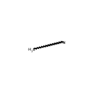 [CH2]CCCCCCCCCCCCCCCCCCCCCCCCCC#N